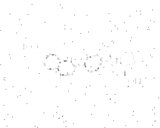 Cc1cc(-c2ccc(S(=O)(=O)N3CCC[C@H]3CO)cc2F)nc2cc(C(=O)O)ccc12